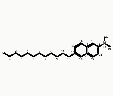 CCCCCCCCCCCCc1ccc2cc(N(C)C)ccc2c1